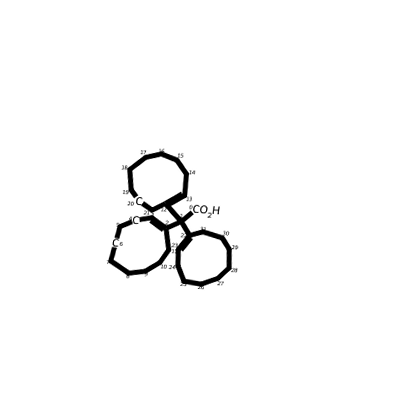 O=C(O)C(/C1=C/CCCCCCCC1)(/C1=C/CCCCCCCC1)/C1=C/CCCCCCCC1